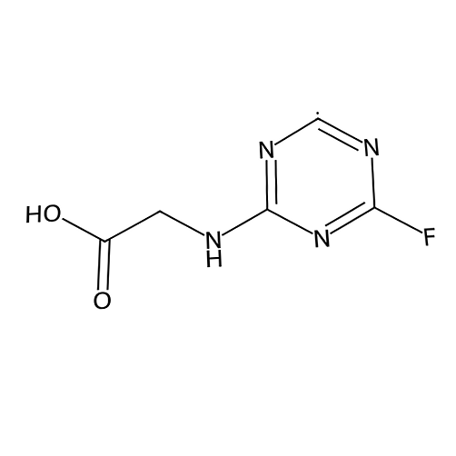 O=C(O)CNc1n[c]nc(F)n1